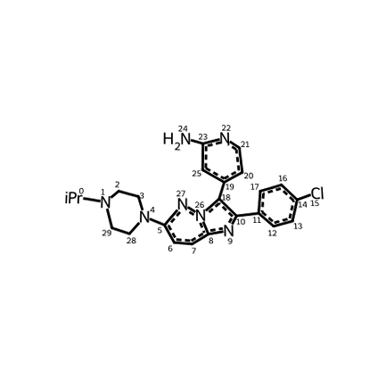 CC(C)N1CCN(c2ccc3nc(-c4ccc(Cl)cc4)c(-c4ccnc(N)c4)n3n2)CC1